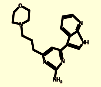 Nc1nc(CCCN2CCOCC2)cc(-c2c[nH]c3ncccc23)n1